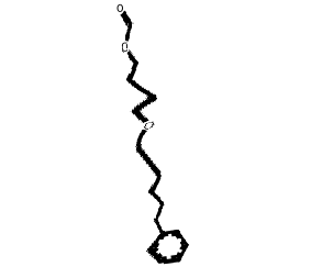 O=[C]OCCCCOCCCCCc1ccccc1